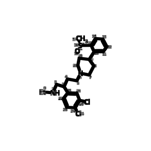 CCNCC(CCN1CCC(c2ccccc2[S@+](C)[O-])CC1)c1ccc(Cl)c(Cl)c1